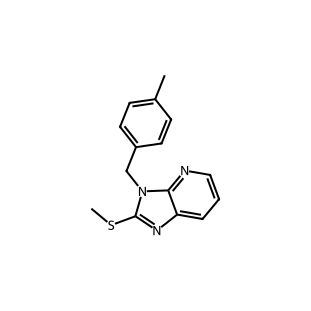 CSc1nc2cccnc2n1Cc1ccc(C)cc1